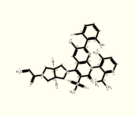 C=CC(=O)N1C[C@@H]2CN(c3c(S(C)(=O)=O)c(=O)n(-c4c(C)ccnc4C(C)C)c4nc(-c5c(O)cccc5F)c(Cl)cc34)C[C@@H]2C1